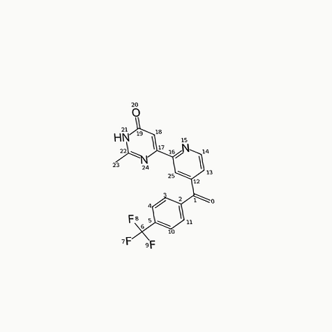 C=C(c1ccc(C(F)(F)F)cc1)c1ccnc(-c2cc(=O)[nH]c(C)n2)c1